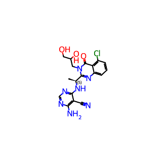 C[C@H](Nc1ncnc(N)c1C#N)c1nc2cccc(Cl)c2c(=O)n1CC(O)CO